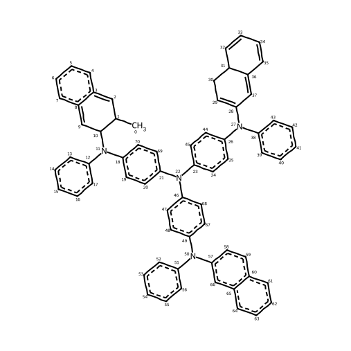 CC1C=c2ccccc2=CC1N(c1ccccc1)c1ccc(N(c2ccc(N(C3=CCC4C=CC=CC4=C3)c3ccccc3)cc2)c2ccc(N(c3ccccc3)c3ccc4ccccc4c3)cc2)cc1